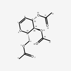 CC(=O)OC[C@@H]1OC=C[C@H](OC(C)=O)[C@H]1OC(C)=O